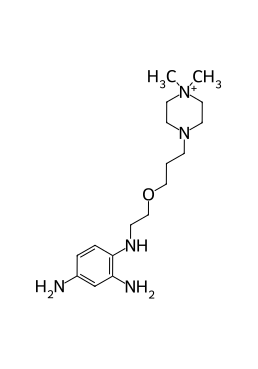 C[N+]1(C)CCN(CCCOCCNc2ccc(N)cc2N)CC1